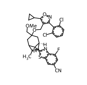 COCC1(OCc2c(-c3c(Cl)cccc3Cl)noc2C2CC2)CC2C(C)C[C@H](C1)[C@@]2(O)c1nc2c(F)cc(C#N)cc2s1